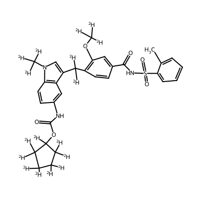 [2H]C([2H])([2H])Oc1cc(C(=O)NS(=O)(=O)c2ccccc2C)ccc1C([2H])([2H])c1cn(C([2H])([2H])[2H])c2ccc(NC(=O)OC3([2H])C([2H])([2H])C([2H])([2H])C([2H])([2H])C3([2H])[2H])cc12